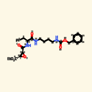 CCOC(=O)[C@H]1O[C@@H]1C(=O)N[C@@H](CC(C)C)C(=O)NCCCCNC(=O)OCc1ccccc1